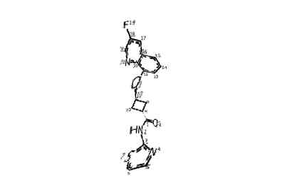 O=C(Nc1nccs1)[C@H]1C[C@H](Oc2cccc3cc(F)cnc23)C1